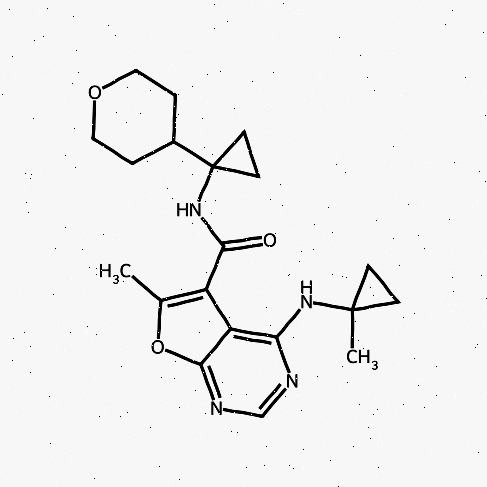 Cc1oc2ncnc(NC3(C)CC3)c2c1C(=O)NC1(C2CCOCC2)CC1